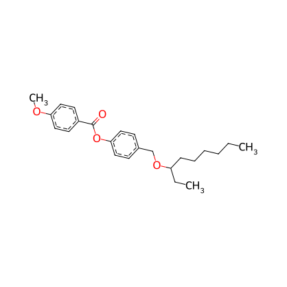 CCCCCCC(CC)OCc1ccc(OC(=O)c2ccc(OC)cc2)cc1